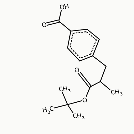 CC(Cc1ccc(C(=O)O)cc1)C(=O)OC(C)(C)C